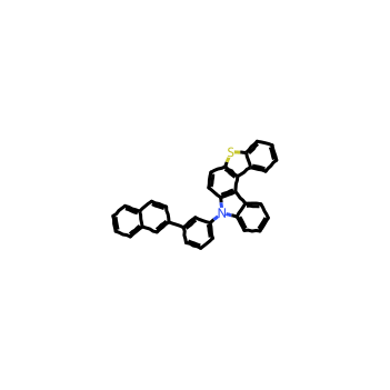 c1cc(-c2ccc3ccccc3c2)cc(-n2c3ccccc3c3c4c(ccc32)sc2ccccc24)c1